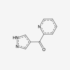 O=C(c1cn[nH]c1)c1ccccn1